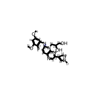 COc1cc(/N=c2\ccc3ncc(-c4cnn(C)c4)nc3n2CC(O)CO)c(F)c(OC)c1